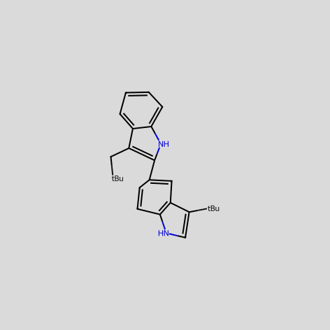 CC(C)(C)Cc1c(-c2ccc3[nH]cc(C(C)(C)C)c3c2)[nH]c2ccccc12